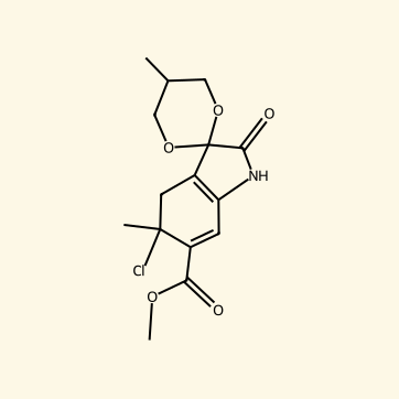 COC(=O)C1=CC2=C(CC1(C)Cl)C1(OCC(C)CO1)C(=O)N2